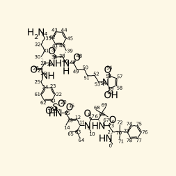 CN[C@H](C(=O)N[C@H](C(=O)N(C)[C@H](/C=C(\C)C(=O)NS(=O)(=O)c1ccc(CNC(=O)[C@H](CCCCN)NC(=O)[C@H](Cc2ccccc2)NC(=O)CCCCCN2C(=O)C=CC2O)cc1)C(C)C)C(C)(C)C)C(C)(C)c1ccccc1